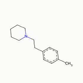 Cc1ccc(CCN2CCCCC2)cc1